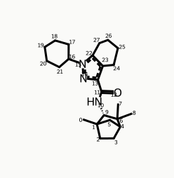 CC12CCC(C1)C(C)(C)[C@H]2NC(=O)c1nn(C2CCCCC2)c2c1CCCC2